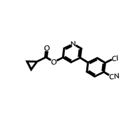 N#Cc1ccc(-c2cncc(OC(=O)C3CC3)c2)cc1Cl